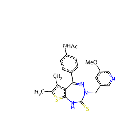 COc1cncc(CN2N=C(c3ccc(NC(C)=O)cc3)c3c(sc(C)c3C)NC2=S)c1